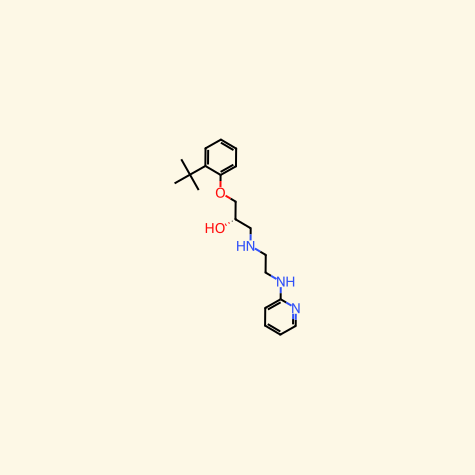 CC(C)(C)c1ccccc1OC[C@@H](O)CNCCNc1ccccn1